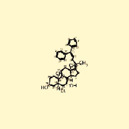 CC[C@H]1[C@@H](O)[C@H]2C3CCC([C@H](C)CC=C(c4ccccc4)c4ccccc4)[C@@]3(C)CCC2[C@@]2(C)CC[C@@H](O)C[C@@H]12